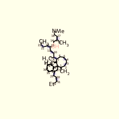 C=C1/C=C\C=C/C\C(=C(C)/C=C/C(BC/C(C)=C\CNC)=C\C=C/C)C(=C)C1(C/C=C\C=C/CC)c1ccccc1